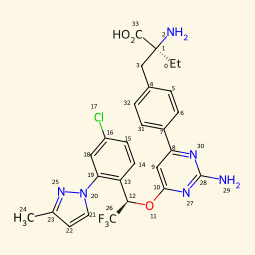 CC[C@](N)(Cc1ccc(-c2cc(O[C@H](c3ccc(Cl)cc3-n3ccc(C)n3)C(F)(F)F)nc(N)n2)cc1)C(=O)O